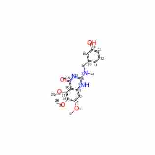 COc1cc2[nH]c(N(C)Cc3cccc(O)c3)nc(=O)c2c(OC)c1OC